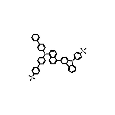 C[Si](C)(C)c1ccc(-c2ccc(N(c3ccc(-c4ccccc4)cc3)c3cccc4c(-c5ccc6c(c5)c5ccccc5n6-c5ccc([Si](C)(C)C)cc5)cccc34)cc2)cc1